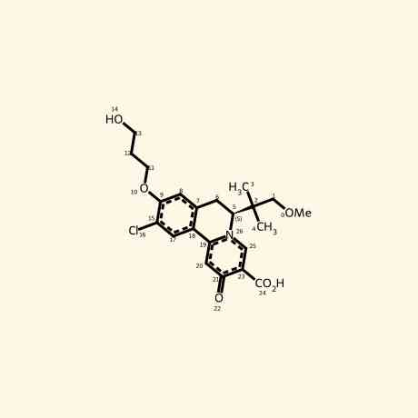 COCC(C)(C)[C@@H]1Cc2cc(OCCCO)c(Cl)cc2-c2cc(=O)c(C(=O)O)cn21